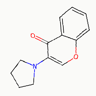 O=c1c(N2CCCC2)coc2ccccc12